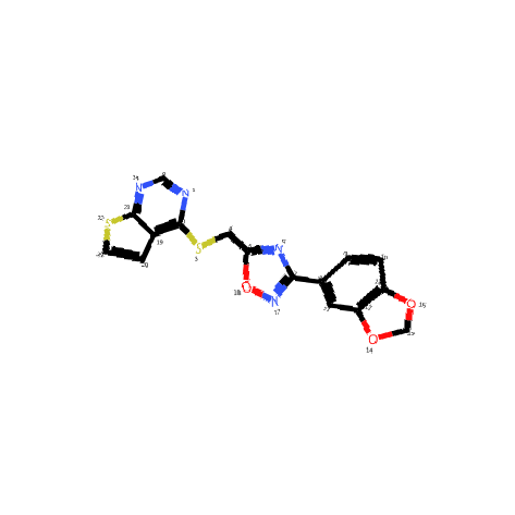 c1nc(SCc2nc(-c3ccc4c(c3)OCO4)no2)c2ccsc2n1